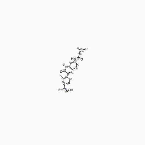 CC/C(=N/O)c1cc(C)c(-c2cc3cnc(NC(=O)[C@H]4C[C@H]4F)cc3n(C)c2=O)cn1